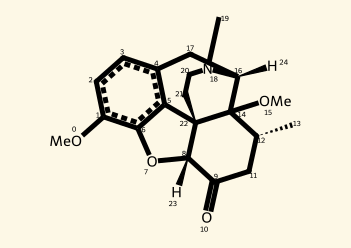 COc1ccc2c3c1O[C@H]1C(=O)C[C@@H](C)C4(OC)[C@@H](C2)N(C)CC[C@]314